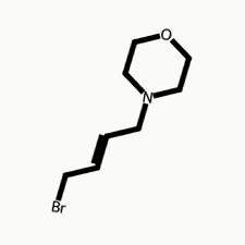 BrC/C=C/CN1CCOCC1